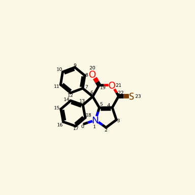 CN1CCC2=C1C(c1ccccc1)(c1ccccc1)C(=O)OC2=S